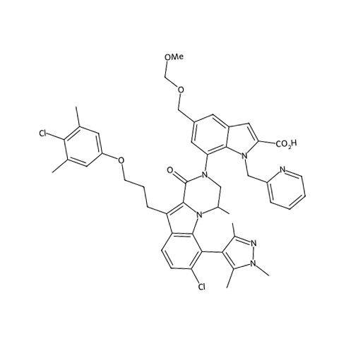 COCOCc1cc(N2CC(C)n3c(c(CCCOc4cc(C)c(Cl)c(C)c4)c4ccc(Cl)c(-c5c(C)nn(C)c5C)c43)C2=O)c2c(c1)cc(C(=O)O)n2Cc1ccccn1